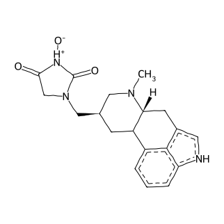 CN1C[C@H](CN2CC(=O)[NH+]([O-])C2=O)CC2c3cccc4[nH]cc(c34)C[C@H]21